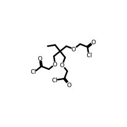 CCC(COCC(=O)Cl)(COCC(=O)Cl)COCC(=O)Cl